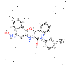 O=C1C(N[C@H](Cc2ccccc2)C(=O)Nc2cccc(C(F)(F)F)c2)=C/C(=N/O)c2ccccc21